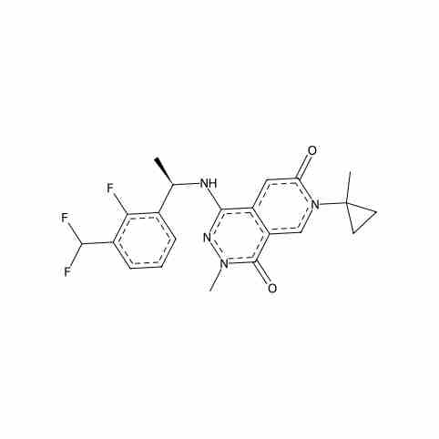 C[C@@H](Nc1nn(C)c(=O)c2cn(C3(C)CC3)c(=O)cc12)c1cccc(C(F)F)c1F